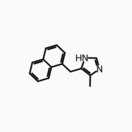 Cc1nc[nH]c1Cc1cccc2ccccc12